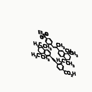 CC1(C)CCC(C)(C)c2cc(C#Cc3ccc(C(=O)O)cc3)ccc21.CCS(=O)(=O)c1ccc(C=C(C)c2ccc3c(c2)C(C)(C)CCC3(C)C)cc1